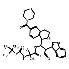 CC(C)(C)OC(=O)NC(C)(C)C(=O)NC(C(C=O)c1c[nH]c2ccccc12)C1NCCc2cc(C(=O)N3CCOCC3)ccc21